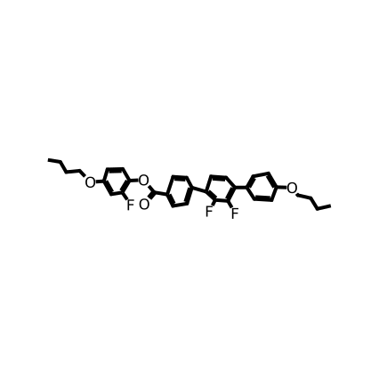 CCCCOc1ccc(-c2ccc(-c3ccc(C(=O)Oc4ccc(OCCCC)cc4F)cc3)c(F)c2F)cc1